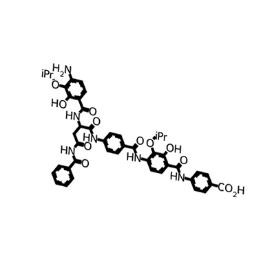 CC(C)Oc1c(N)ccc(C(=O)NC(CC(=O)NC(=O)c2ccccc2)C(=O)Nc2ccc(C(=O)Nc3ccc(C(=O)Nc4ccc(C(=O)O)cc4)c(O)c3OC(C)C)cc2)c1O